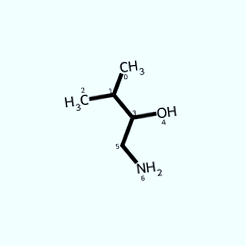 CC(C)C(O)CN